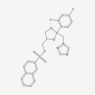 O=S(=O)(OCC1COC(Cn2cncn2)(c2ccc(F)cc2F)O1)c1ccc2ccccc2c1